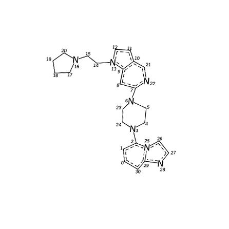 c1cc(N2CCN(c3cc4c(ccn4CCN4CCCC4)cn3)CC2)n2ccnc2c1